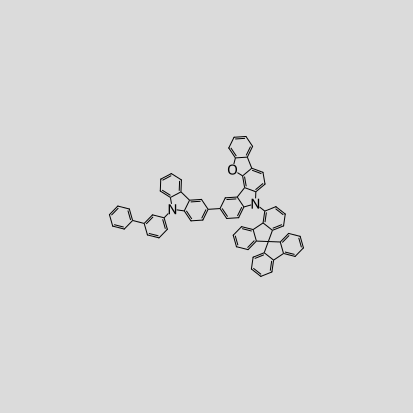 c1ccc(-c2cccc(-n3c4ccccc4c4cc(-c5ccc6c(c5)c5c7oc8ccccc8c7ccc5n6-c5cccc6c5-c5ccccc5C65c6ccccc6-c6ccccc65)ccc43)c2)cc1